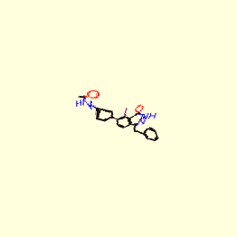 CC(=O)Nc1ccc(-c2ccc3c(Cc4ccccc4)n[nH]c(=O)c3c2I)cc1